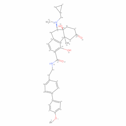 CC(C)Oc1ccc(-c2ccc(CCNC(=O)c3ccc4c(c3O)C3(C)CC(=O)CC[C@@]3(O)[C@H](N(C)CC3CC3)C4)cc2)cc1